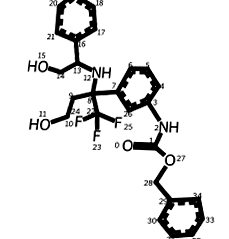 O=C(Nc1cccc(C(CCO)(NC(CO)c2ccccc2)C(F)(F)F)c1)OCc1ccccc1